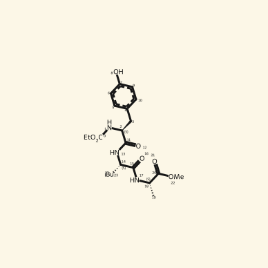 CCOC(=O)N[C@@H](Cc1ccc(O)cc1)C(=O)N[C@H](C(=O)N[C@@H](C)C(=O)OC)C(C)CC